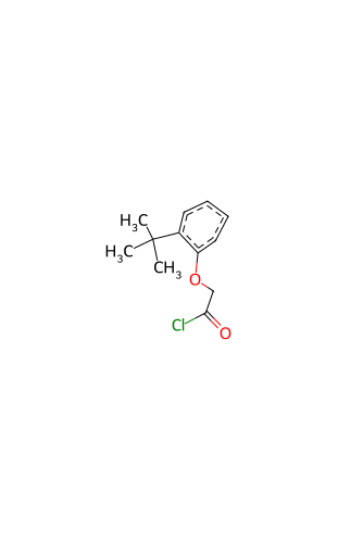 CC(C)(C)c1ccccc1OCC(=O)Cl